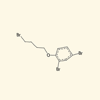 BrCCCCOc1ccc(Br)cc1Br